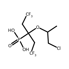 CC(CCl)OC(CC(F)(F)F)(CC(F)(F)F)P(=O)(O)O